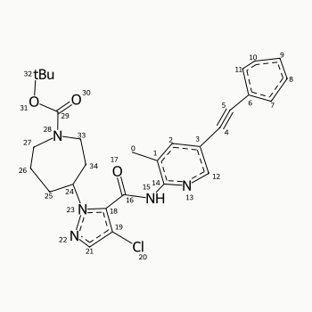 Cc1cc(C#Cc2ccccc2)cnc1NC(=O)c1c(Cl)cnn1C1CCCN(C(=O)OC(C)(C)C)CC1